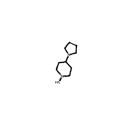 SN1CCC(N2CCCC2)CC1